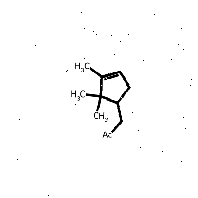 CC(=O)CC1CC=C(C)C1(C)C